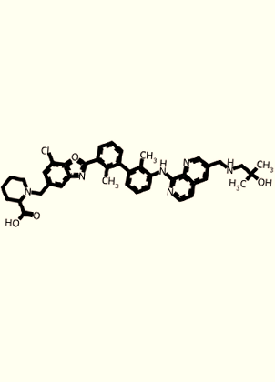 Cc1c(Nc2nccc3cc(CNCC(C)(C)O)cnc23)cccc1-c1cccc(-c2nc3cc(CN4CCCCC4C(=O)O)cc(Cl)c3o2)c1C